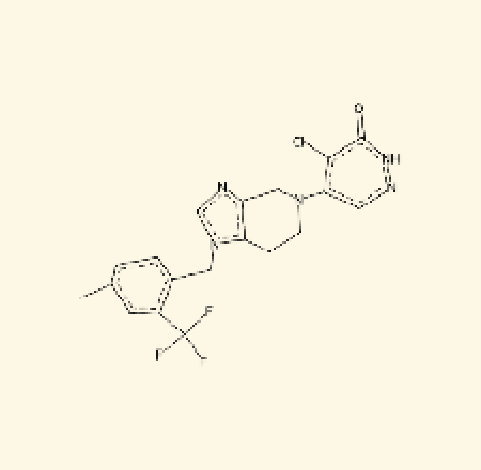 Cc1ccc(Cn2cnc3c2CCN(c2cn[nH]c(=O)c2Cl)C3)c(C(F)(F)F)c1